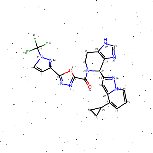 O=C(c1nnc(-c2ccn(C(F)(F)F)n2)o1)N1CCc2[nH]cnc2[C@H]1c1cc2c(C3CC3)cccn2n1